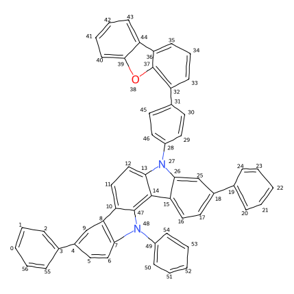 c1ccc(-c2ccc3c(c2)c2ccc4c(c5ccc(-c6ccccc6)cc5n4-c4ccc(-c5cccc6c5oc5ccccc56)cc4)c2n3-c2ccccc2)cc1